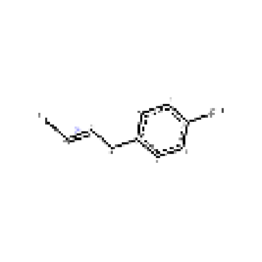 Fc1ccc(C/C=C/I)cc1